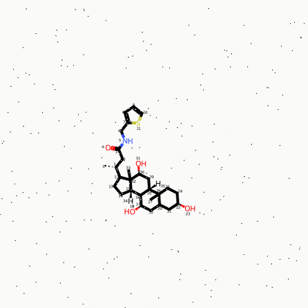 C[C@H](CC(=O)NCc1cccs1)C1CC[C@H]2C3[C@H](O)CC4C[C@H](O)CCC4(C)[C@H]3C[C@H](O)C12C